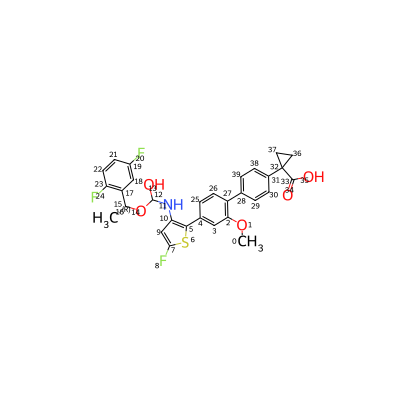 COc1cc(-c2sc(F)cc2NC(O)O[C@H](C)c2cc(F)ccc2F)ccc1-c1ccc(C2(C(=O)O)CC2)cc1